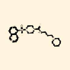 O=C(NCCCN1CCCCC1)N1CCN(S(=O)(=O)c2cccc3cnccc23)CC1